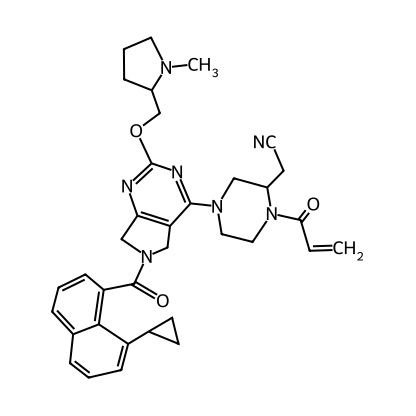 C=CC(=O)N1CCN(c2nc(OCC3CCCN3C)nc3c2CN(C(=O)c2cccc4cccc(C5CC5)c24)C3)CC1CC#N